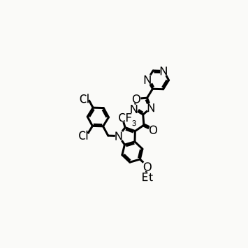 CCOc1ccc2c(c1)c(C(=O)c1noc(-c3ccncn3)n1)c(C(F)(F)F)n2Cc1ccc(Cl)cc1Cl